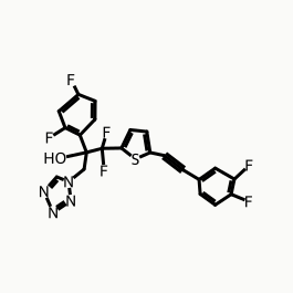 OC(Cn1cnnn1)(c1ccc(F)cc1F)C(F)(F)c1ccc(C#Cc2ccc(F)c(F)c2)s1